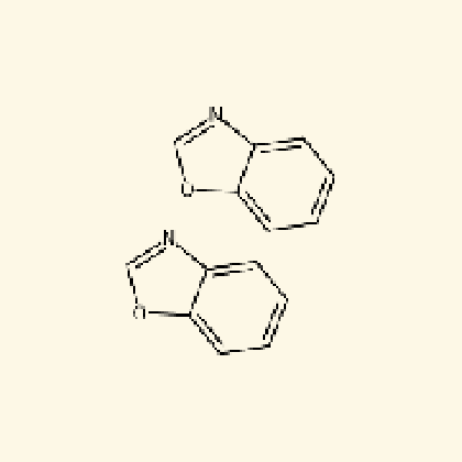 c1ccc2ocnc2c1.c1ccc2ocnc2c1